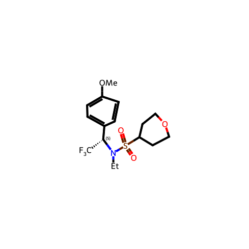 CCN([C@@H](c1ccc(OC)cc1)C(F)(F)F)S(=O)(=O)C1CCOCC1